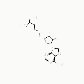 Nc1ncnc2c1ncn2[C@@H]1O[C@H](CSCCC(N)C(=O)O)[C@H](O)C1O